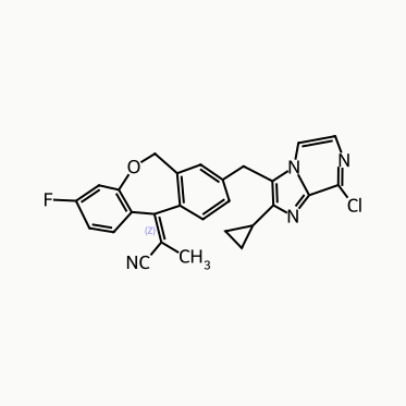 C/C(C#N)=C1\c2ccc(Cc3c(C4CC4)nc4c(Cl)nccn34)cc2COc2cc(F)ccc21